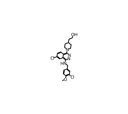 COc1ccc(CNc2nnc(N3CCC(CCO)CC3)c3ccc(Cl)cc23)cc1Cl